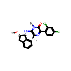 CCO[C@H]1Cc2ccccc2[C@H]1Nc1c(C)nc(-c2ccc(Cl)cc2Cl)c(=O)n1CC